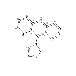 c1ccc2c(-n3ccnc3)c3ccccc3nc2c1